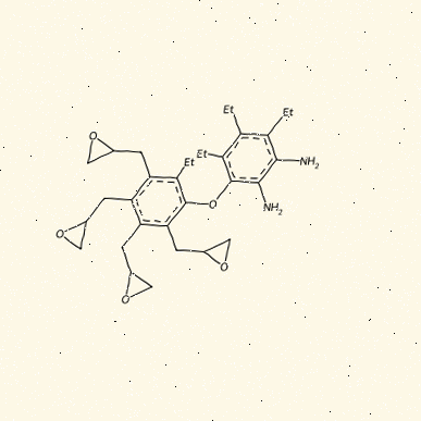 CCc1c(N)c(N)c(Oc2c(CC)c(CC3CO3)c(CC3CO3)c(CC3CO3)c2CC2CO2)c(CC)c1CC